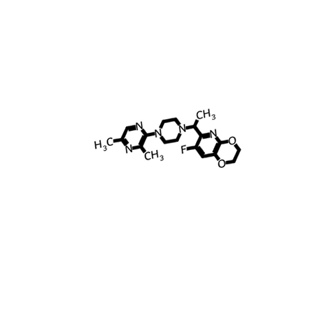 Cc1cnc(N2CCN(C(C)c3nc4c(cc3F)OCCO4)CC2)c(C)n1